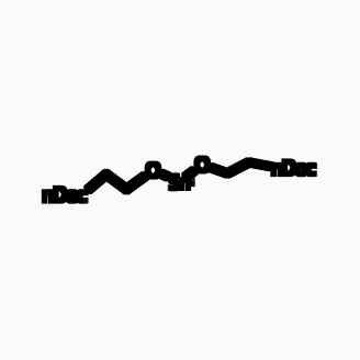 CCCCCCCCCCCC[O][Sn][O]CCCCCCCCCCCC